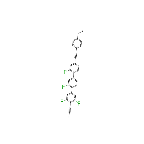 CC#Cc1c(F)cc(-c2ccc(-c3ccc(C#Cc4ccc(CCC)cc4)cc3F)cc2F)cc1F